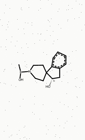 CB(O)N1CCC2(CC1)c1ccccc1C[C@@H]2O